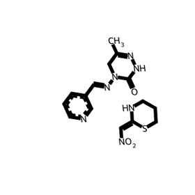 CC1=NNC(=O)N(/N=C/c2cccnc2)C1.O=[N+]([O-])/C=C1/NCCCS1